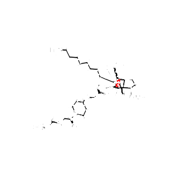 CO[C@@H]1CC[C@]23CC[C@@H](C)[C@](C)([C@H]12)[C@H](OC(=O)CSC1CCN(C(=O)CNC(=O)OC(C)(C)C)CC1)C[C@](C)(CCCCCCCCN)C(=O)[C@@H]3C